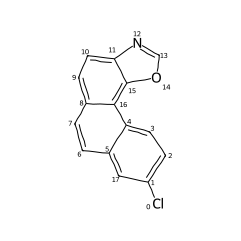 Clc1ccc2c(ccc3ccc4ncoc4c32)c1